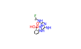 CNc1cc(NC2(C)C=CC=CC2C(=O)O)nn2c(C(=O)N[C@@H]3C[C@@H]3F)cnc12